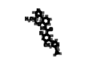 Cc1cc(F)c(C(=O)Nc2cccc3c2OC[C@@H](C)n2cncc2-3)cc1-n1cnc(C2CC2)c1